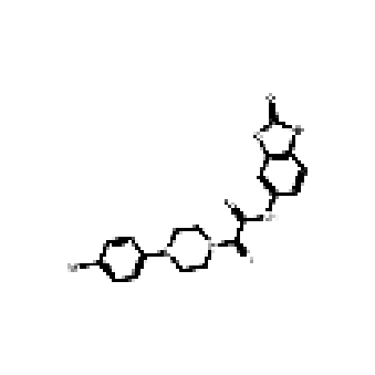 O=C(Nc1ccc2[nH]c(=O)oc2c1)C(=O)N1CCN(c2ccc(Br)cc2)CC1